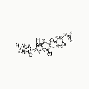 CNC(N)=NC(=O)c1cc2c(Cl)cc(Oc3ccnc(CN(C)C)c3)cc2[nH]1